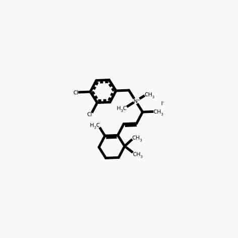 CC1=C(C=CC(C)[N+](C)(C)Cc2ccc(Cl)c(Cl)c2)C(C)(C)CCC1.[I-]